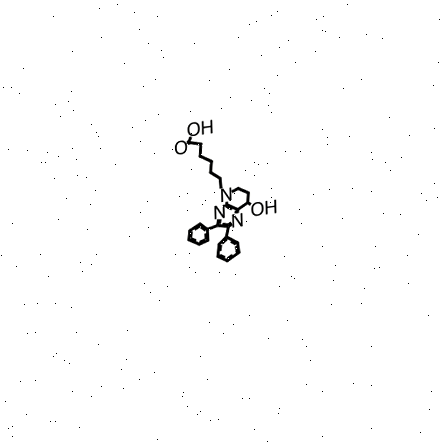 O=C(O)CCCCCCN1CCC(O)c2nc(-c3ccccc3)c(-c3ccccc3)nc21